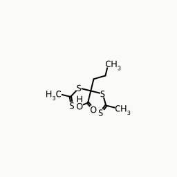 CCCC(SC(C)=S)(SC(C)=S)C(=O)O